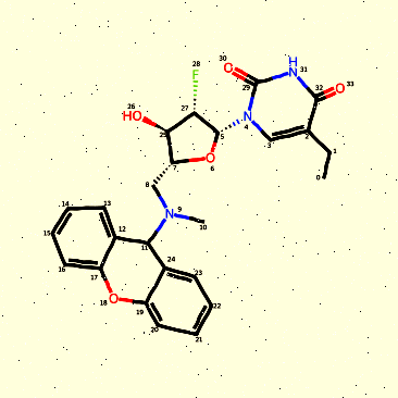 CCc1cn([C@@H]2O[C@H](CN(C)C3c4ccccc4Oc4ccccc43)[C@@H](O)[C@@H]2F)c(=O)[nH]c1=O